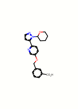 O=C(O)c1cccc(COc2ccc(-c3ccnn3C3CCCCO3)nc2)c1